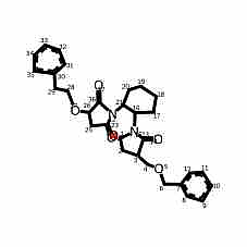 O=C1CC(COCc2ccccc2)C(=O)N1C1CCCCC1N1C(=O)CC(OCCc2ccccc2)C1=O